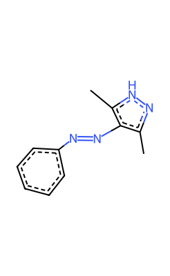 Cc1n[nH]c(C)c1N=Nc1ccccc1